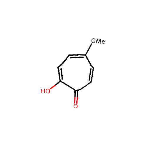 COc1ccc(O)c(=O)cc1